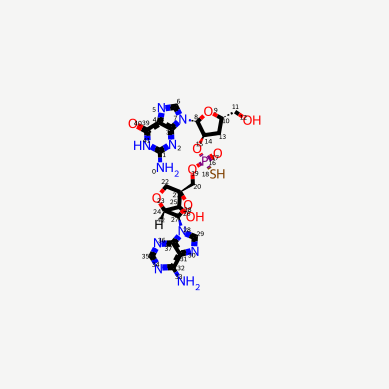 Nc1nc2c(ncn2[C@@H]2O[C@H](CO)C[C@H]2OP(=O)(S)OC[C@]23CO[C@H](C2O)[C@H](n2cnc4c(N)ncnc42)O3)c(=O)[nH]1